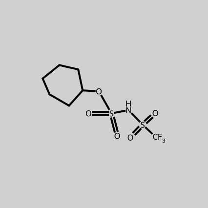 O=S(=O)(NS(=O)(=O)C(F)(F)F)OC1CCCCC1